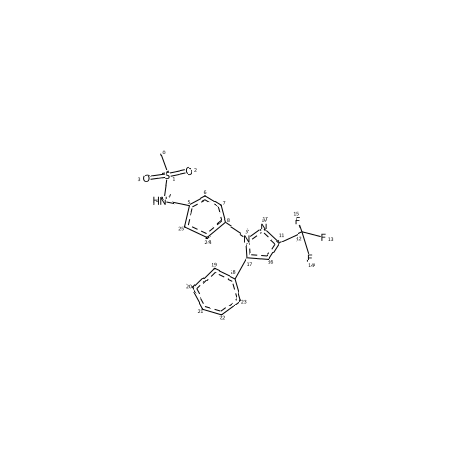 CS(=O)(=O)Nc1ccc(-n2nc(C(F)(F)F)cc2-c2ccccc2)cc1